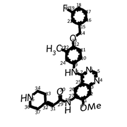 COc1cc2ncnc(Nc3ccc(OCc4cccc(F)c4)c(C)c3)c2cc1NC(=O)C=C1CCNCC1